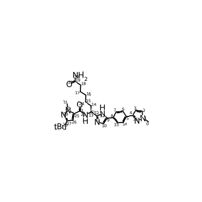 Cn1ccc(-c2ccc(-c3cnc([C@H](CCCCCC(N)=O)NC(=O)c4cc(C(C)(C)C)nn4C)[nH]3)cc2)n1